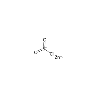 O=[S-](=O)Cl.[Zn+]